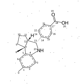 Cc1ccc2c(c1)[C@]1(C)CCC[C@@H]1[C@H](c1ccc(C(=O)O)cc1)N2